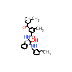 CCCC(CC)C(=O)c1cc(C)cc(C(=O)N[C@@H](Cc2ccccc2)[C@@H](O)CNCc2cccc(CC)c2)c1